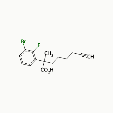 C#CCCCCC(C)(C(=O)O)c1cccc(Br)c1F